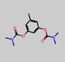 Cc1cc(OC(=O)N(C)C)cc(OC(=O)N(C)C)c1